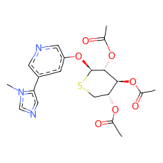 CC(=O)O[C@@H]1[C@@H](OC(C)=O)[C@H](OC(C)=O)CS[C@H]1Oc1cncc(-c2cncn2C)c1